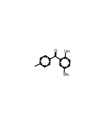 Cc1ccc(C(=O)c2cc(C(C)(C)C)ccc2O)cc1